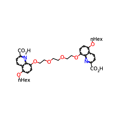 CCCCCCOc1ccc(OCCOCCOCCOc2ccc(OCCCCCC)c3ccc(C(=O)O)nc23)c2nc(C(=O)O)ccc12